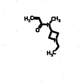 C=CC(=O)N(C)C1CN(CC)C1